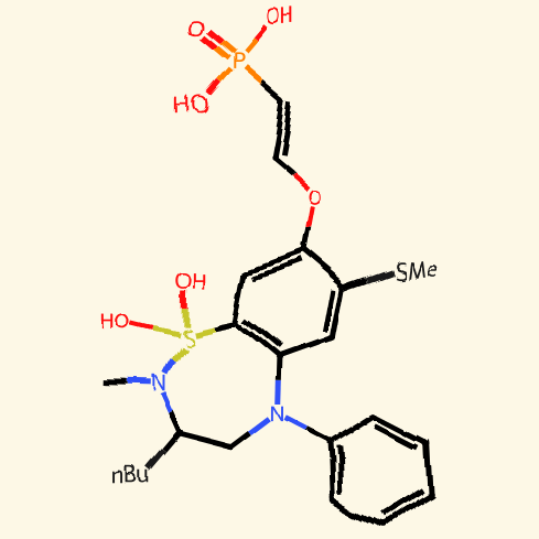 CCCCC1CN(c2ccccc2)c2cc(SC)c(OC=CP(=O)(O)O)cc2S(O)(O)N1C